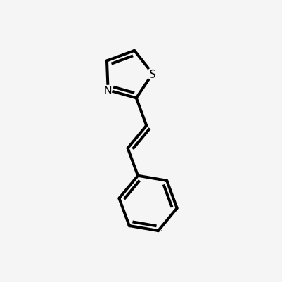 [c]1ccc(C=Cc2nccs2)cc1